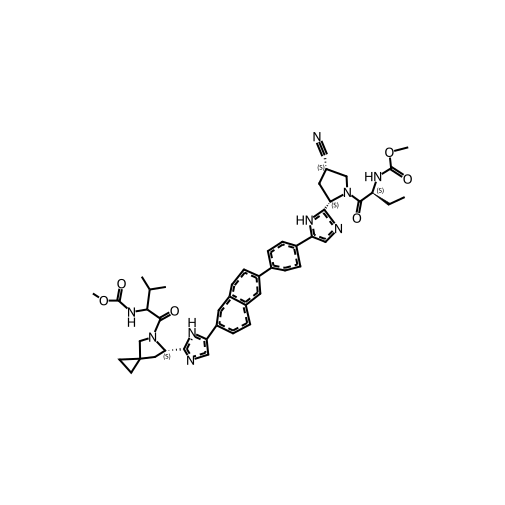 CC[C@H](NC(=O)OC)C(=O)N1C[C@@H](C#N)C[C@H]1c1ncc(-c2ccc(-c3ccc4cc(-c5cnc([C@@H]6CC7(CC7)CN6C(=O)C(NC(=O)OC)C(C)C)[nH]5)ccc4c3)cc2)[nH]1